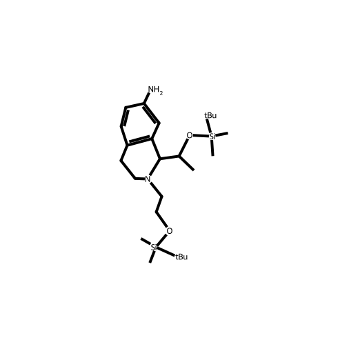 CC(O[Si](C)(C)C(C)(C)C)C1c2cc(N)ccc2CCN1CCO[Si](C)(C)C(C)(C)C